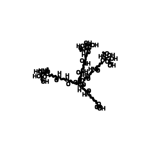 CC(=O)N[C@@H]1C(OCCCCC(=O)NCCCNC(=O)CCOCC(COCCC(=O)NCCCNC(=O)CCCCOC2OC(CO)C(O)C(O)[C@@H]2NC(C)=O)(COCCC(=O)NCCCNC(=O)CCCCOC(OC(CO)[C@@H](C)O)[C@H](CO)NC(C)=O)NC(=O)CCCC(=O)NCCCCCCOP(C)(=O)O)OC(CO)C(O)C1O